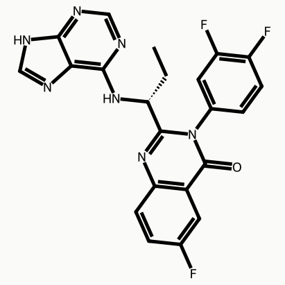 CC[C@@H](Nc1ncnc2[nH]cnc12)c1nc2ccc(F)cc2c(=O)n1-c1ccc(F)c(F)c1